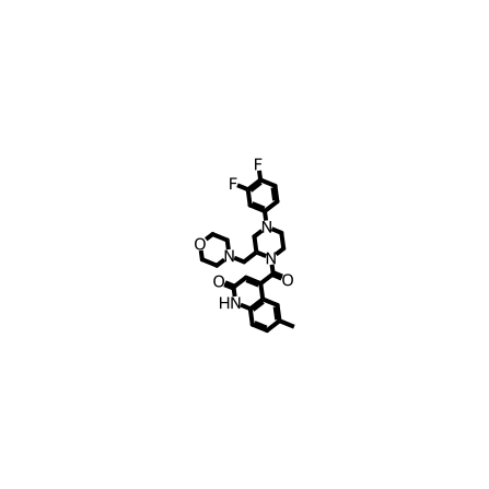 Cc1ccc2[nH]c(=O)cc(C(=O)N3CCN(c4ccc(F)c(F)c4)CC3CN3CCOCC3)c2c1